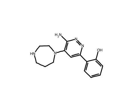 Nc1nnc(-c2ccccc2O)cc1N1CCCNCC1